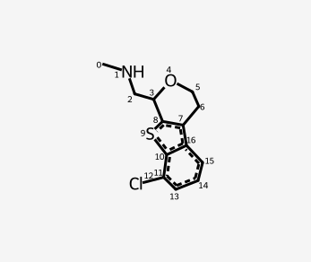 CNCC1OCCc2c1sc1c(Cl)cccc21